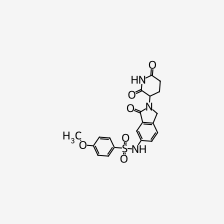 COc1ccc(S(=O)(=O)Nc2ccc3c(c2)C(=O)N(C2CCC(=O)NC2=O)C3)cc1